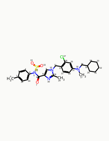 Cc1ccc(N(C(=O)c2cn(Cc3ccc(N(C)CC4CCCCC4)cc3Cl)c(C)n2)[SH](=O)=O)cc1